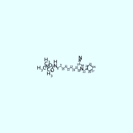 CC(C)(C)OC(=O)NCCCCCCCCCN(CCC#N)Cc1ccccc1